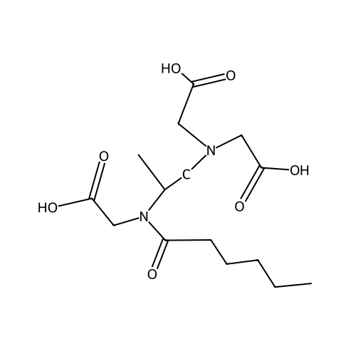 CCCCCC(=O)N(CC(=O)O)C(C)CN(CC(=O)O)CC(=O)O